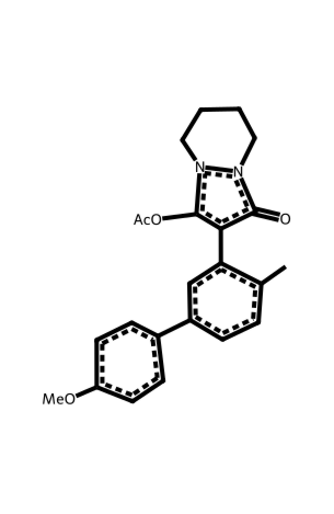 COc1ccc(-c2ccc(C)c(-c3c(OC(C)=O)n4n(c3=O)CCCC4)c2)cc1